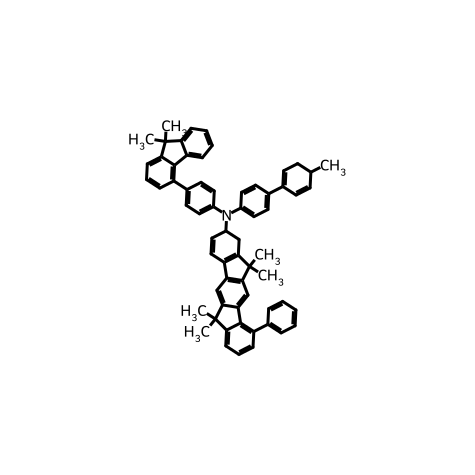 CC1C=CC(c2ccc(N(c3ccc(-c4cccc5c4-c4ccccc4C5(C)C)cc3)C3C=CC4=C(C3)C(C)(C)c3cc5c(cc34)C(C)(C)c3cccc(-c4ccccc4)c3-5)cc2)=CC1